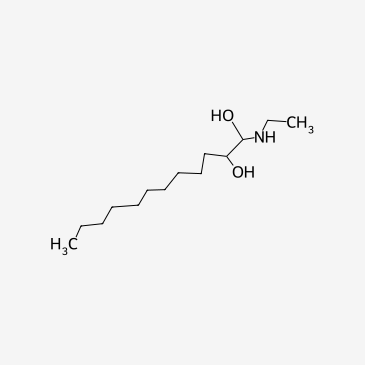 CCCCCCCCCCC(O)C(O)NCC